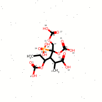 CCC(OC(=O)O)C(C(C)C(=O)O)C(COC(=O)O)(OC(=O)O)P(=O)(O)O